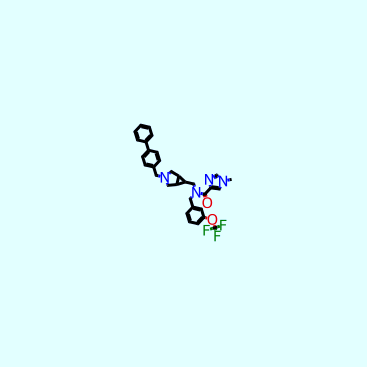 Cn1cnc(C(=O)N(Cc2cccc(OC(F)(F)F)c2)CC2C3CN(Cc4ccc(-c5ccccc5)cc4)CC32)c1